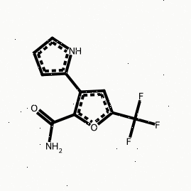 NC(=O)c1oc(C(F)(F)F)cc1-c1ccc[nH]1